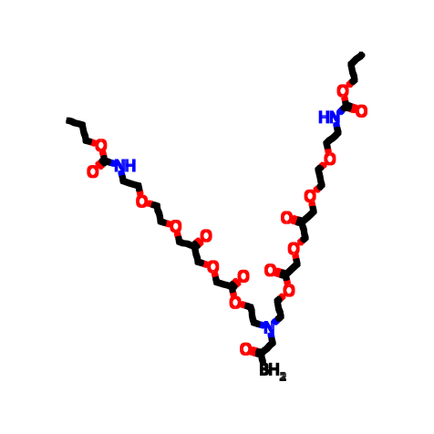 BC(=O)CN(CCOC(=O)COCC(=O)COCCOCCNC(=O)OCCC)CCOC(=O)COCC(=O)COCCOCCNC(=O)OCCC